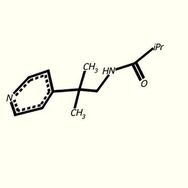 CC(C)C(=O)NCC(C)(C)c1ccncc1